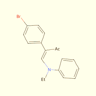 CCN(/C=C(\C(C)=O)c1ccc(Br)cc1)c1ccccc1